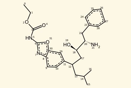 CCOC(=O)Nc1nc2ccc(C(CC(C)C)C[C@@H](O)[C@@H](N)Cc3ccccc3)cc2o1